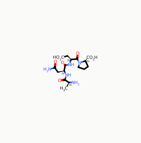 C[C@H](N)C(=O)N[C@@H](CC(N)=O)C(=O)N[C@@H](CC(=O)O)C(=O)N1CCC[C@H]1C(=O)O